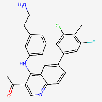 CC(=O)c1cnc2ccc(-c3cc(F)c(C)c(Cl)c3)cc2c1Nc1cccc(CCN)c1